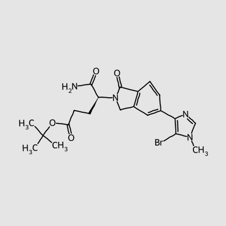 Cn1cnc(-c2ccc3c(c2)CN([C@@H](CCC(=O)OC(C)(C)C)C(N)=O)C3=O)c1Br